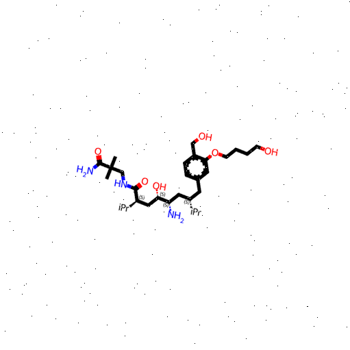 CC(C)[C@@H](Cc1ccc(CO)c(OCCCCO)c1)C[C@H](N)[C@@H](O)C[C@H](C(=O)NCC(C)(C)C(N)=O)C(C)C